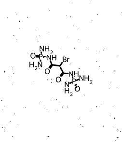 NP(N)(=O)NC(=O)C(Br)C(=O)NP(N)(N)=O